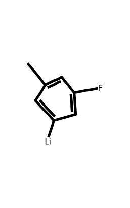 [Li][c]1cc(C)cc(F)c1